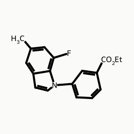 CCOC(=O)c1cccc(-n2ccc3cc(C)cc(F)c32)c1